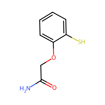 NC(=O)COc1ccccc1S